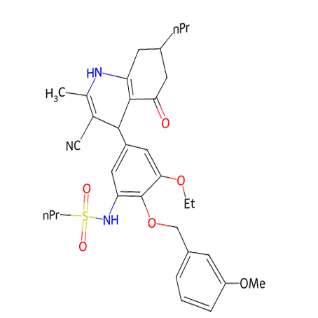 CCCC1CC(=O)C2=C(C1)NC(C)=C(C#N)C2c1cc(NS(=O)(=O)CCC)c(OCc2cccc(OC)c2)c(OCC)c1